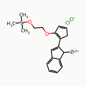 C[Si](C)(C)OCCOC1=C(C2=Cc3ccccc3[CH]2[Zr+2])CC=C1.[Cl-].[Cl-]